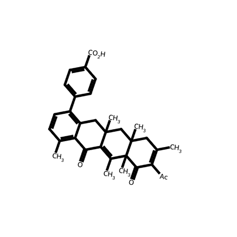 CC(=O)C1=C(C)CC2(C)CC3(C)Cc4c(-c5ccc(C(=O)O)cc5)ccc(C)c4C(=O)C3=C(C)C2(C)C1=O